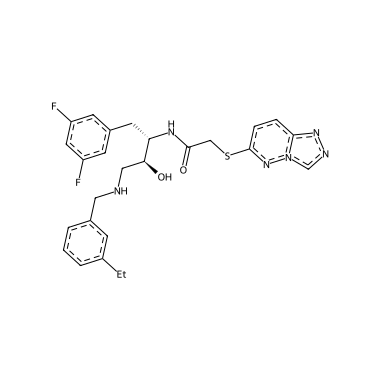 CCc1cccc(CNC[C@H](O)[C@H](Cc2cc(F)cc(F)c2)NC(=O)CSc2ccc3nncn3n2)c1